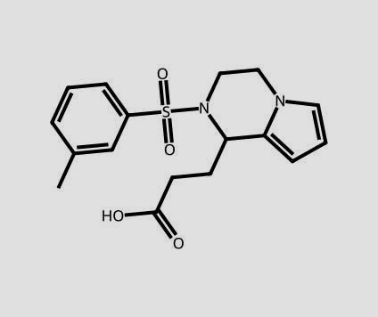 Cc1cccc(S(=O)(=O)N2CCn3cccc3C2CCC(=O)O)c1